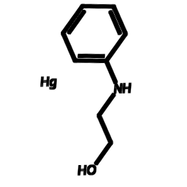 OCCNc1ccccc1.[Hg]